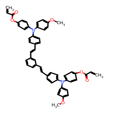 C=CC(=O)Oc1ccc(N(c2ccc(C=Cc3cccc(C=Cc4ccc(N(c5ccc(OC)cc5)c5ccc(OC(=O)C=C)cc5)cc4)c3)cc2)c2ccc(OC)cc2)cc1